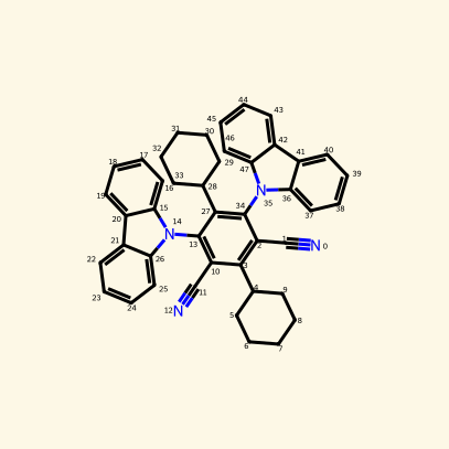 N#Cc1c(C2CCCCC2)c(C#N)c(-n2c3ccccc3c3ccccc32)c(C2CCCCC2)c1-n1c2ccccc2c2ccccc21